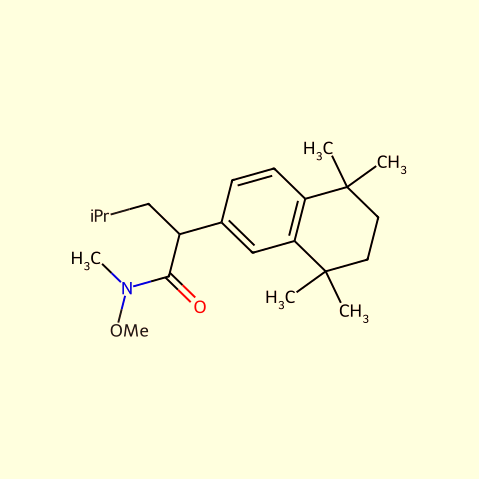 CON(C)C(=O)C(CC(C)C)c1ccc2c(c1)C(C)(C)CCC2(C)C